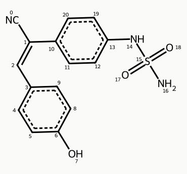 N#CC(=Cc1ccc(O)cc1)c1ccc(NS(N)(=O)=O)cc1